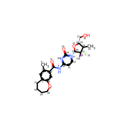 Cc1cc2c(cc1C(=O)Nc1ccn([C@@H]3O[C@H](CO)C(C)[C@@]3(F)I)c(=O)n1)OCCCC2